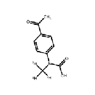 [2H]C([2H])([2H])N(C(=O)O)c1ccc(C(C)=O)cc1